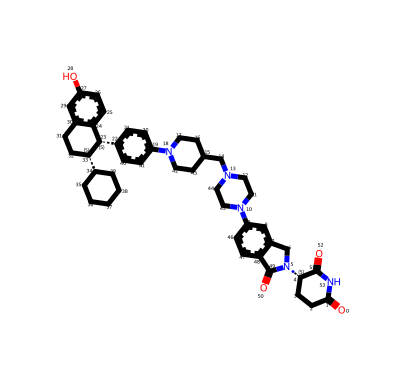 O=C1CC[C@H](N2Cc3cc(N4CCN(CC5CCN(c6ccc([C@H]7c8ccc(O)cc8CC[C@H]7C7CCCCC7)cc6)CC5)CC4)ccc3C2=O)C(=O)N1